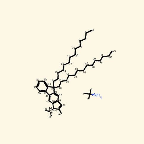 CC(C)(C)N.CCCCCCCCCCCCCCC1(CCCCCCCCCCCCCC)c2ccccc2-c2cc3c(cc21)C=C(C)C3[SiH](C)C